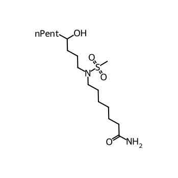 CCCCCC(O)CCCN(CCCCCCC(N)=O)S(C)(=O)=O